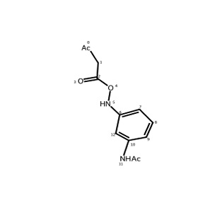 CC(=O)CC(=O)ONc1cccc(NC(C)=O)c1